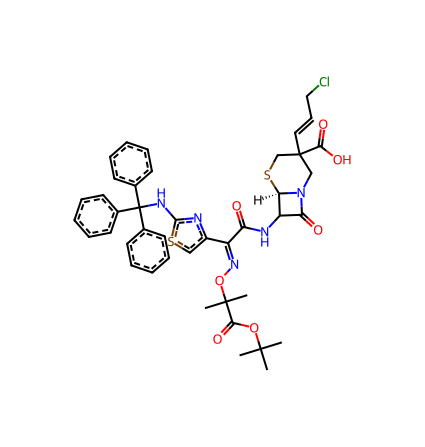 CC(C)(C)OC(=O)C(C)(C)ON=C(C(=O)NC1C(=O)N2CC(C=CCCl)(C(=O)O)CS[C@H]12)c1csc(NC(c2ccccc2)(c2ccccc2)c2ccccc2)n1